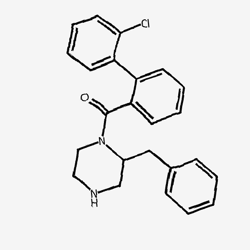 O=C(c1ccccc1-c1ccccc1Cl)N1CCNCC1Cc1ccccc1